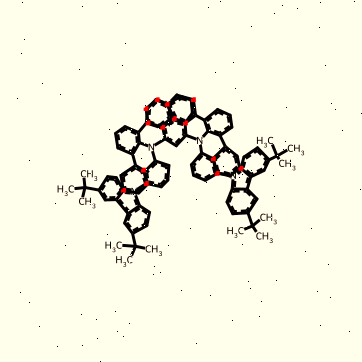 CC(C)(C)c1ccc2c(c1)c1cc(C(C)(C)C)ccc1n2-c1cccc(N(c2cc(N(c3cccc(-n4c5ccc(C(C)(C)C)cc5c5cc(C(C)(C)C)ccc54)c3)c3c(-c4ccccc4)cccc3-c3ccccc3)c3c4c2CCCN4CCC3)c2c(-c3ccccc3)cccc2-c2ccccc2)c1